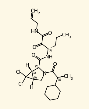 C=CCNC(=O)C(=O)[C@H](CCC)NC(=O)[C@@H]1[C@@H]2[C@H](CN1C(=O)[C@@H](C)C1CCCCC1)C2(Cl)Cl